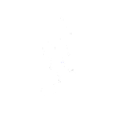 CC(=C\Oc1ccc(Cl)cc1)/C(=N/c1ccccc1)Oc1ccccc1